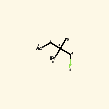 CC(=O)CC(C)(CF)C(C)C